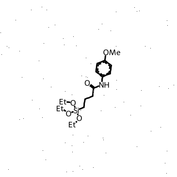 CCO[Si](CCCC(=O)Nc1ccc(OC)cc1)(OCC)OCC